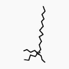 CCCCCCCCCCCC[N+](CCC)(CCCC)CCCC